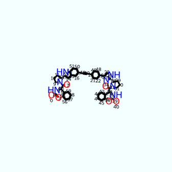 COC(=O)N[C@@H](C(=O)N1CCC[C@H]1c1cc2cc(C#Cc3ccc(-c4c[nH]c([C@@H]5CCCN5C(=O)[C@H](NC(=O)OC)c5ccccc5)n4)cc3)ccc2[nH]1)c1ccccc1